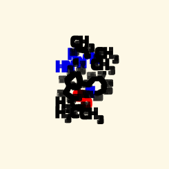 Cc1cc(N(C)C)nc(Nc2cc3c(c(C4CCC=CCN4C(=O)OC(C)(C)C)c2)OCC3)n1